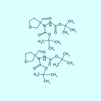 CC(C)(C)OC(=O)NN(C(=O)OC(C)(C)C)C1(C=O)CCOC1.CC(C)(C)OC(=O)NN(C(=O)OC(C)(C)C)C1(C=O)CCOC1